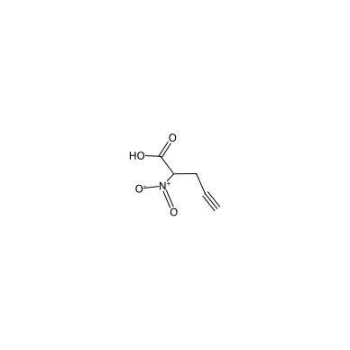 C#CCC(C(=O)O)[N+](=O)[O-]